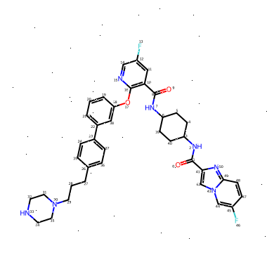 O=C(NC1CCC(NC(=O)c2cc(F)cnc2Oc2cccc(-c3ccc(CCCN4CCNCC4)cc3)c2)CC1)c1cn2cc(F)ccc2n1